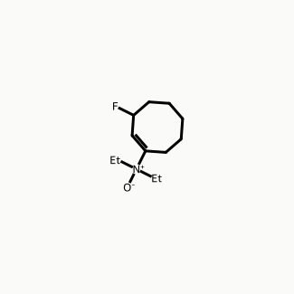 CC[N+]([O-])(CC)/C1=C/C(F)CCCCC1